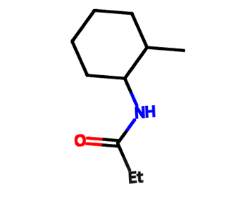 CCC(=O)NC1CCCCC1C